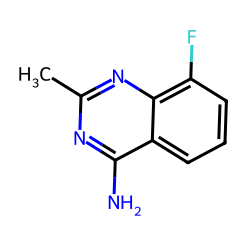 Cc1nc(N)c2cccc(F)c2n1